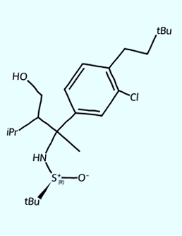 CC(C)C(CO)C(C)(N[S@@+]([O-])C(C)(C)C)c1ccc(CCC(C)(C)C)c(Cl)c1